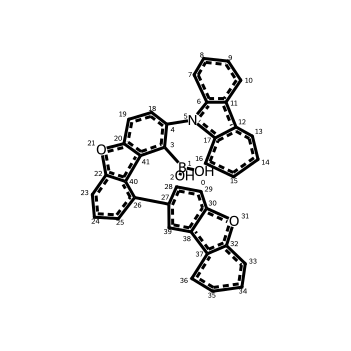 OB(O)c1c(-n2c3ccccc3c3ccccc32)ccc2oc3cccc(-c4ccc5oc6ccccc6c5c4)c3c12